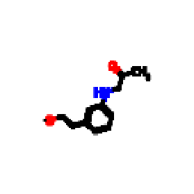 CC(=O)CNc1cccc(CC[O])c1